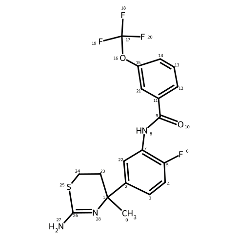 CC1(c2ccc(F)c(NC(=O)c3cccc(OC(F)(F)F)c3)c2)CCSC(N)=N1